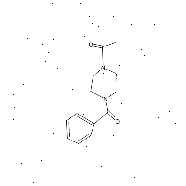 CC(=O)N1CCN(C(=O)c2ccccc2)CC1